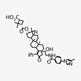 Cc1cn(-c2ccc(C(=O)NC[C@H](O)[C@@]34CC[C@]5(C)C(CC[C@@]6(C)[C@@]5(C)CC[C@H]5C(C)(C)[C@@H](OC(=O)[C@H]7C[C@@H](C(=O)O)C7(C)C)CC[C@@]56C)C3=C(C(C)C)C(=O)C4)cc2)cn1